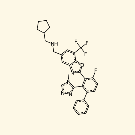 Cn1cnnc1-c1c(-c2ccccc2)ccc(F)c1-c1nc2cc(CNCC3CCCC3)cc(C(F)(F)F)c2o1